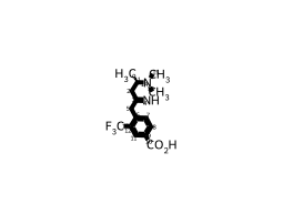 C[C@H](CC(=N)Cc1ccc(C(=O)O)cc1C(F)(F)F)N(C)C